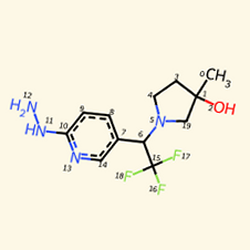 CC1(O)CCN(C(c2ccc(NN)nc2)C(F)(F)F)C1